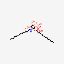 CCCCCCCCCCC[C@@H](O)CC(=O)N[C@H]1[C@H](O)[C@@H](CO)O[C@H](OP(=O)(O)O)[C@@H]1OC(=O)C[C@H](O)CCCCCCCCCCC